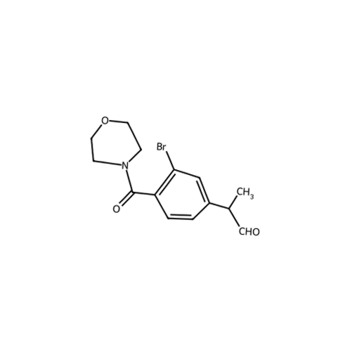 CC(C=O)c1ccc(C(=O)N2CCOCC2)c(Br)c1